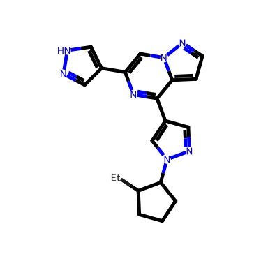 CCC1CCCC1n1cc(-c2nc(-c3cn[nH]c3)cn3nccc23)cn1